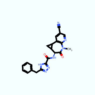 CN1C(=O)[C@@H](NC(=O)c2nnc(Cc3ccccc3)[nH]2)C2CC2c2cc(C#N)cnc21